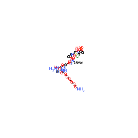 COCCN(CCN(C)C(=O)OCc1ccc(NC(=O)C(CCCNC(N)=O)NC(=O)C(NC(=O)CCOCCOCCOCCOCCOCCOCCN)C(C)C)cc1)C(=O)Oc1cc2c(c3ccccc13)CCN2C(=O)c1ccc(C(=O)N2C[C@@H](CCl)c3c2cc(OP(=O)(O)O)c2ccccc32)s1